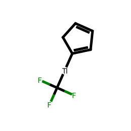 F[C](F)(F)[Tl][C]1=CC=CC1